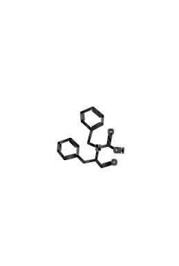 O=CC(Cc1ccccc1)N(Cc1ccccc1)C(=O)O